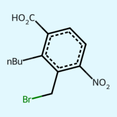 CCCCc1c(C(=O)O)ccc([N+](=O)[O-])c1CBr